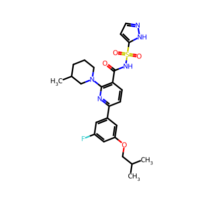 CC(C)COc1cc(F)cc(-c2ccc(C(=O)NS(=O)(=O)c3ccn[nH]3)c(N3CCCC(C)C3)n2)c1